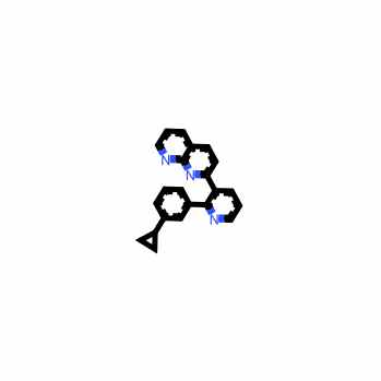 c1cc(-c2ncccc2-c2ccc3cccnc3n2)cc(C2CC2)c1